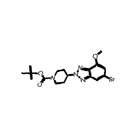 COc1cc(Br)cc2nn(C3CCN(C(=O)OC(C)(C)C)CC3)nc12